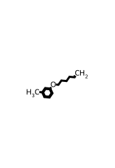 C=CCCCCOc1cccc(C)c1